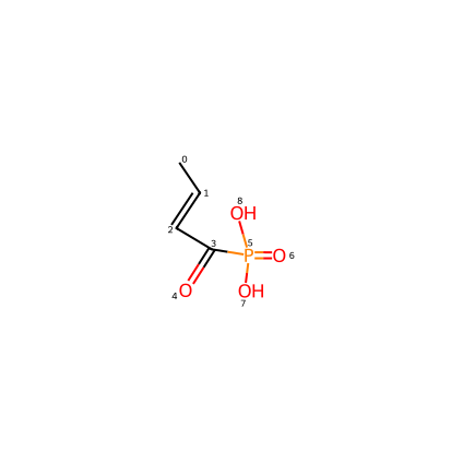 CC=CC(=O)P(=O)(O)O